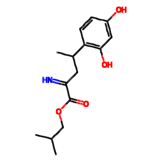 CC(C)COC(=O)C(=N)CC(C)c1ccc(O)cc1O